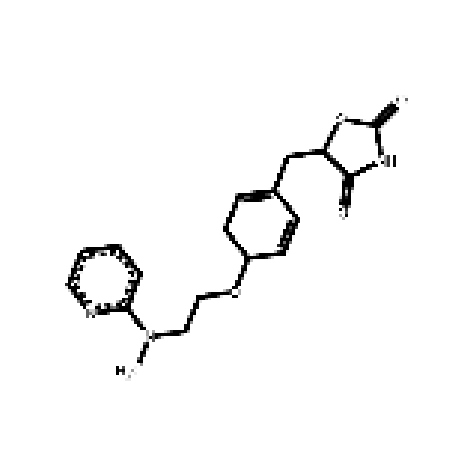 CN(CCOC1C=CC(CC2SC(=O)NC2=O)=CC1)c1ccccn1